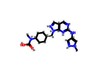 Cn1cc(Nc2ncc3cnn(C[C@H]4CC[C@H](N(C)C(=O)O)CC4)c3n2)cn1